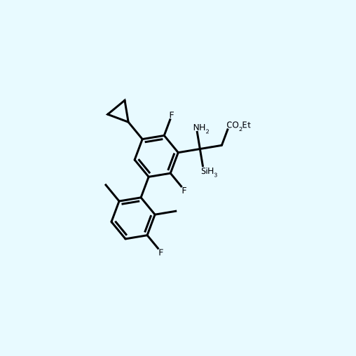 CCOC(=O)CC(N)([SiH3])c1c(F)c(-c2c(C)ccc(F)c2C)cc(C2CC2)c1F